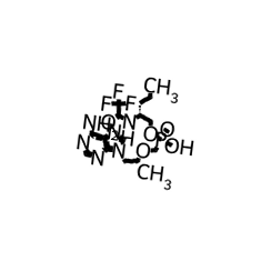 CCC[C@H](COP(=O)(O)COC(C)Cn1cnc2c(N)ncnc21)NC(=O)C(F)(F)F